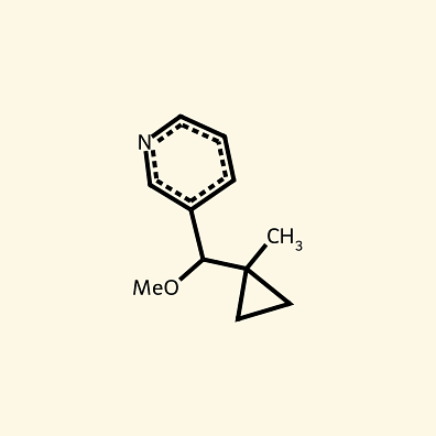 COC(c1cccnc1)C1(C)CC1